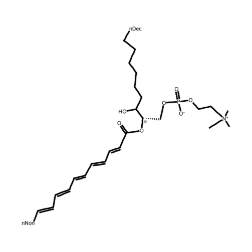 CCCCCCCCCC=CC=CC=CC=CC=CC(=O)O[C@@H](COP(=O)([O-])OCC[N+](C)(C)C)C(O)CCCCCCCCCCCCCCCC